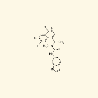 C[C@@H](c1c[nH]c(=O)c2cc(F)c(F)cc12)N(C)C(=O)Nc1ccc2cc[nH]c2c1